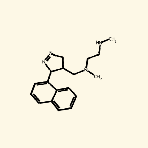 CNCCN(C)CC1CN=NC1c1cccc2ccccc12